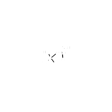 CC(C)O.O[Si](O)(O)O.[NaH]